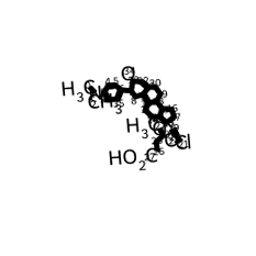 CN(C)c1ccc(C2CC3=C4CC[C@@]5(C)C(CC[C@@]5(C#CCl)OC(=O)CCC(=O)O)C4CCC3=CC2=O)cc1